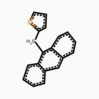 c1csc([SiH2]c2c3ccccc3cc3ccccc23)c1